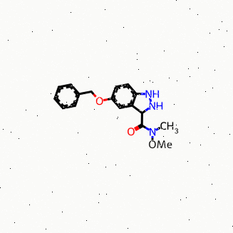 CON(C)C(=O)C1NNc2ccc(OCc3ccccc3)cc21